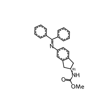 COC(=O)N[C@@H]1Cc2ccc(N=C(c3ccccc3)c3ccccc3)cc2C1